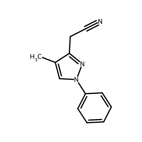 Cc1cn(-c2ccccc2)nc1CC#N